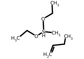 C=CCC.CCO[SiH](C)OCC